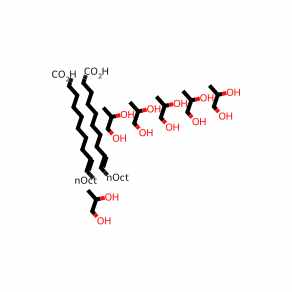 CC(O)CO.CC(O)CO.CC(O)CO.CC(O)CO.CC(O)CO.CC(O)CO.CCCCCCCCC=CCCCCCCCC(=O)O.CCCCCCCCC=CCCCCCCCC(=O)O